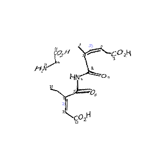 C/C(=C/C(=O)O)C(=O)NC(=O)/C(C)=C\C(=O)O.NCC(=O)O